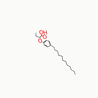 CCCCCCCCCCCCc1ccc(OC(CC)C(=O)O)cc1